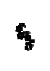 Cl.Cn1ncc(-c2cccc(-c3csc(NC(=O)CN)n3)n2)n1